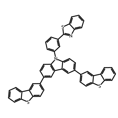 c1cc(-c2nc3ccccc3s2)cc(-n2c3ccc(-c4ccc5sc6ccccc6c5c4)cc3c3cc(-c4ccc5sc6ccccc6c5c4)ccc32)c1